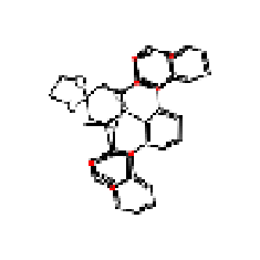 COc1ccc2ccccc2c1-c1cccc(-c2c(OC)ccc3ccccc23)c1P1C(c2ccccc2)CC2(CC1c1ccccc1)OCCO2